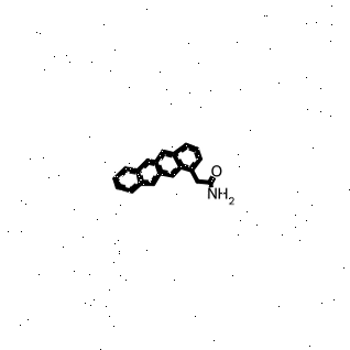 NC(=O)Cc1cccc2cc3cc4ccccc4cc3cc12